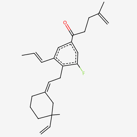 C=CC1(C)CCC/C(=C/Cc2c(F)cc(C(=O)CCC(=C)C)cc2/C=C/C)C1